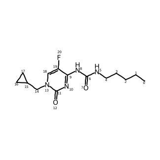 CCCCCNC(=O)Nc1nc(=O)n(CC2CC2)cc1F